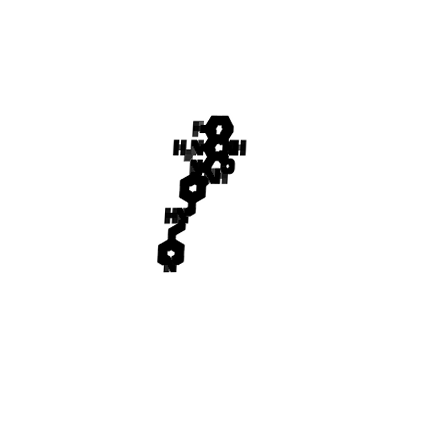 Nc1c(-c2nc3ccc(CNCCc4ccncc4)cc3[nH]2)c(=O)[nH]c2cccc(F)c12